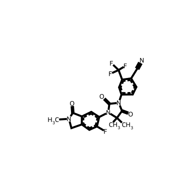 CN1Cc2cc(F)c(N3C(=O)N(c4ccc(C#N)c(C(F)(F)F)c4)C(=O)C3(C)C)cc2C1=O